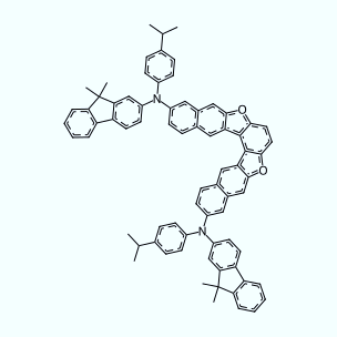 CC(C)c1ccc(N(c2ccc3c(c2)C(C)(C)c2ccccc2-3)c2ccc3cc4c(cc3c2)oc2ccc3oc5cc6cc(N(c7ccc(C(C)C)cc7)c7ccc8c(c7)C(C)(C)c7ccccc7-8)ccc6cc5c3c24)cc1